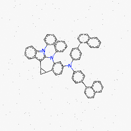 c1ccc(N2c3cc(N(c4ccc(-c5cccc6ccccc56)cc4)c4ccc(-c5cccc6ccccc56)cc4)ccc3C3CC3c3c2n(-c2ccccc2)c2ccccc32)cc1